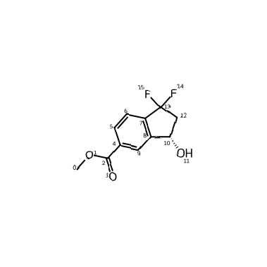 COC(=O)c1ccc2c(c1)[C@@H](O)CC2(F)F